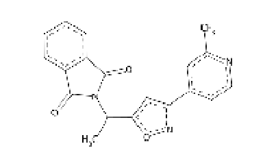 CC(c1cc(-c2ccnc(C(F)(F)F)c2)no1)N1C(=O)c2ccccc2C1=O